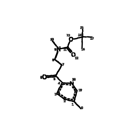 Cc1ccc(C(=O)CCN(C)C(=O)OC(C)(C)C)nc1